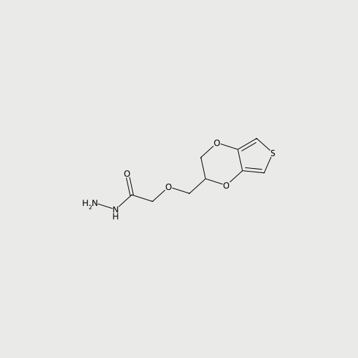 NNC(=O)COCC1COc2cscc2O1